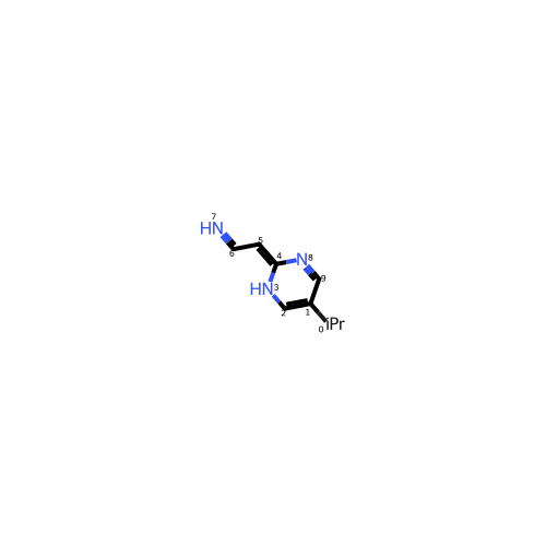 CC(C)C1=CN/C(=C\C=N)N=C1